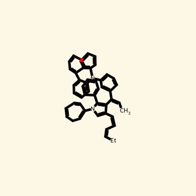 C/C=C(/c1cccc(N(c2ccccc2)c2ccccc2-c2ccccc2)c1)c1c(/C=C\C=C/CC)cn(C2=CCC=CC=C2)c1-c1ccccc1